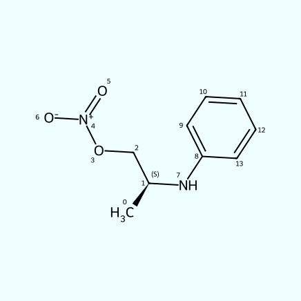 C[C@@H](CO[N+](=O)[O-])Nc1ccccc1